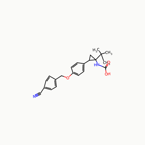 CC(C)(C)C1(NC(=O)O)CC1c1ccc(OCc2ccc(C#N)cc2)cc1